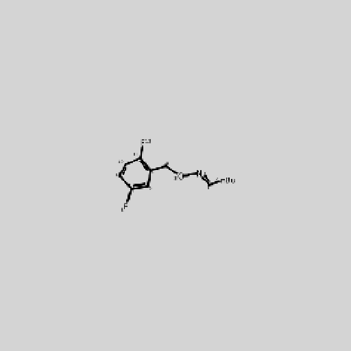 CCCCC=NOCc1cc(F)ccc1F